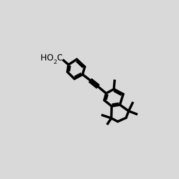 Cc1cc2c(cc1C#Cc1ccc(C(=O)O)cc1)C(C)(C)CCC2(C)C